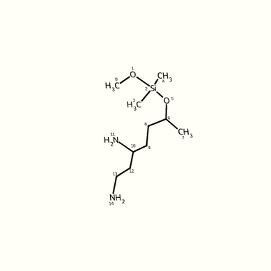 CO[Si](C)(C)OC(C)CCC(N)CCN